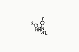 CCOC(C)c1nc(-c2ccc(F)cc2)c(-c2ccc(SC)cc2)[nH]1